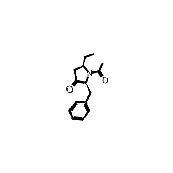 CC[C@@H]1CC(=O)[C@H](Cc2ccccc2)N1C(C)=O